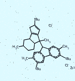 Cc1cc2c(cc1C(C)(C)C)-c1cc(C(C)(C)C)c(C)cc1C2C1(C)C2=C(CC(C(C)(C)C)=C2)C2CC(C)CCC21.[Cl-].[Cl-].[Zr+2]